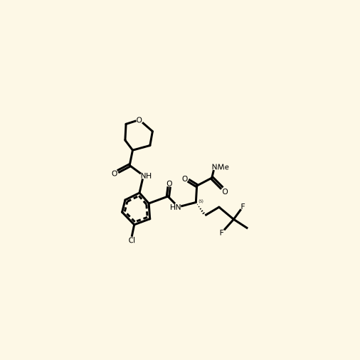 CNC(=O)C(=O)[C@H](CCC(C)(F)F)NC(=O)c1cc(Cl)ccc1NC(=O)C1CCOCC1